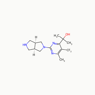 Cc1nc(N2C[C@H]3CNC[C@H]3C2)nc(C(C)(C)O)c1C(F)(F)F